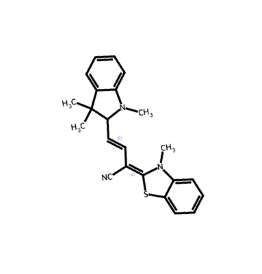 CN1/C(=C(C#N)\C=C\C2N(C)c3ccccc3C2(C)C)Sc2ccccc21